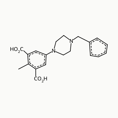 Cc1c(C(=O)O)cc(N2CCN(Cc3ccccc3)CC2)cc1C(=O)O